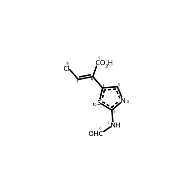 O=CNc1ncc(C(=CCl)C(=O)O)s1